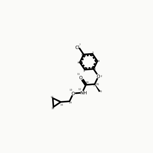 C[C@H](Oc1ccc(Cl)cc1)C(=O)NOCC1CC1